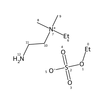 CCOS(=O)(=O)[O-].CC[N+](C)(C)CCN